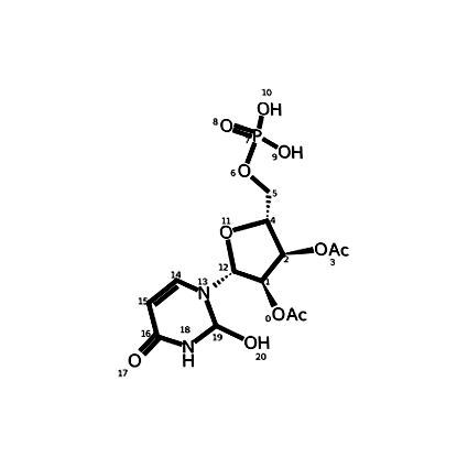 CC(=O)O[C@@H]1[C@H](OC(C)=O)[C@@H](COP(=O)(O)O)O[C@H]1N1C=CC(=O)NC1O